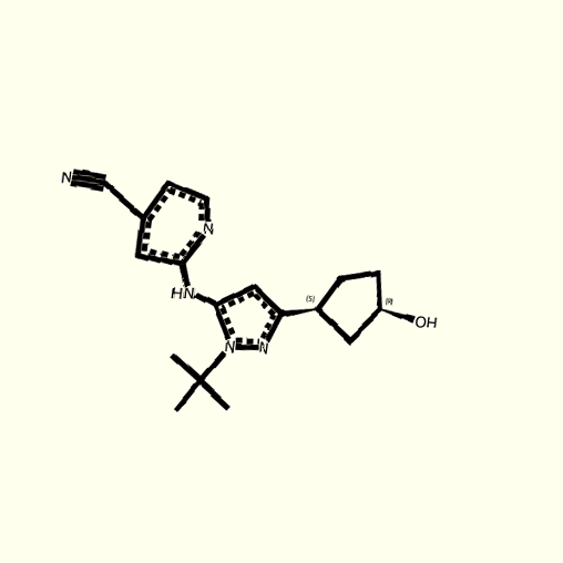 CC(C)(C)n1nc([C@H]2CC[C@@H](O)C2)cc1Nc1cc(C#N)ccn1